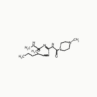 CCCC(C)/C=C\C(=N/C(=O)NC)NC(=O)N1CCN(C)CC1